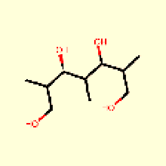 CC(CO)C(O)C(C)[C@H](O)C(C)CO